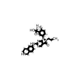 C=CCn1c(=O)c2cnc(Nc3ccc4c(c3)CCNC4)nc2n1-c1ccc(F)c(C(C)(C)O)c1